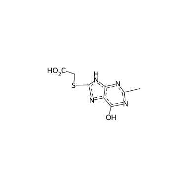 Cc1nc(O)c2nc(SCC(=O)O)[nH]c2n1